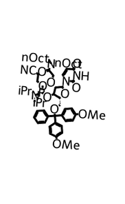 CCCCCCCCN(CCCCCCCC)C(=O)COC1C(OP(OCCC#N)N(C(C)C)C(C)C)[C@@H](COC(c2ccccc2)(c2ccc(OC)cc2)c2ccc(OC)cc2)O[C@H]1n1ccc(=O)[nH]c1=O